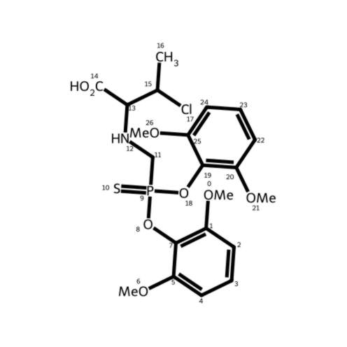 COc1cccc(OC)c1OP(=S)(CNC(C(=O)O)C(C)Cl)Oc1c(OC)cccc1OC